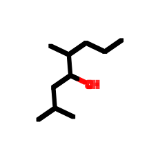 CCCC(C)C(O)CC(C)C